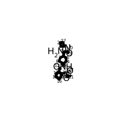 CN(C(=O)[C@@H](N)C1CCC(NC(=O)c2ccccc2CS(C)(=O)=O)CC1)C1CCC1